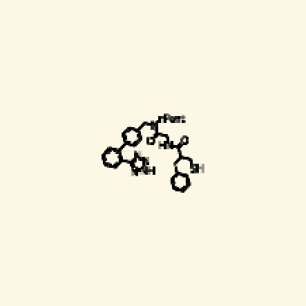 CCCCCN(Cc1ccc(-c2ccccc2-c2nn[nH]n2)cc1)C(=O)CNC(=O)C(CS)Cc1ccccc1